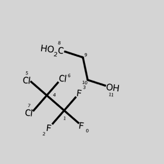 FC(F)(F)C(Cl)(Cl)Cl.O=C(O)CCO